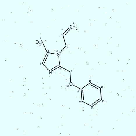 C=CCn1c([N+](=O)[O-])cnc1COc1ccccc1